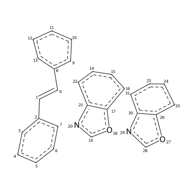 C(=C\c1ccccc1)/c1ccccc1.c1ccc2ocnc2c1.c1ccc2ocnc2c1